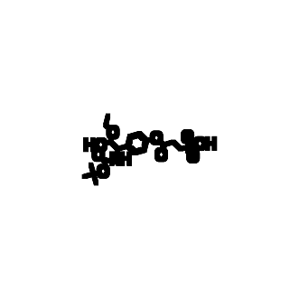 CCOC(O)C(NC(=O)OC(C)(C)C)c1ccc(OC(=O)CCS(=O)(=O)O)cc1